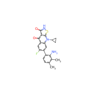 Cc1ccc(-c2cc3c(cc2F)c(=O)c2c(=O)[nH]sc2n3C2CC2)c(N)c1C